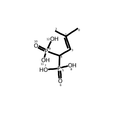 CC(C)=CC(P(=O)(O)O)P(=O)(O)O